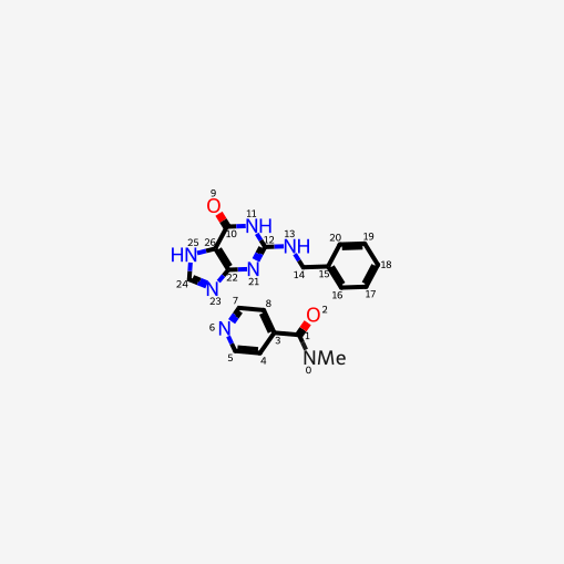 CNC(=O)c1ccncc1.O=c1[nH]c(NCc2ccccc2)nc2nc[nH]c12